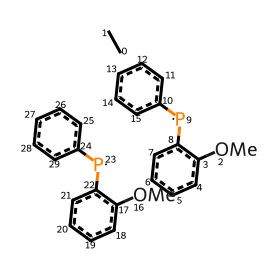 CC.COc1ccccc1[P]c1ccccc1.COc1ccccc1[P]c1ccccc1